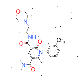 Cc1c(C(=O)N(C)C)cc(C(=O)NCCN2CCOCC2)c(=O)n1-c1cccc(C(F)(F)F)c1